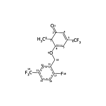 CC1C(=O)C=C(C(F)(F)F)C=C1OCc1cc(C(F)(F)F)ccc1F